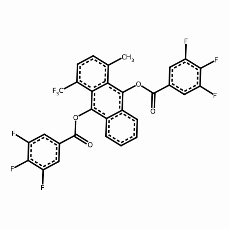 Cc1ccc(C(F)(F)F)c2c(OC(=O)c3cc(F)c(F)c(F)c3)c3ccccc3c(OC(=O)c3cc(F)c(F)c(F)c3)c12